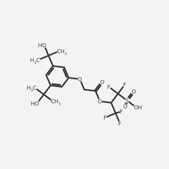 CC(C)(O)c1cc(OCC(=O)OC(C(F)(F)F)C(F)(F)S(=O)(=O)O)cc(C(C)(C)O)c1